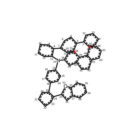 c1ccc(-c2ccc(-c3ccccc3N(c3ccc(-c4ccccc4-c4cc5ccccc5o4)cc3)c3ccc4c(ccc5ccccc54)c3)cc2)cc1